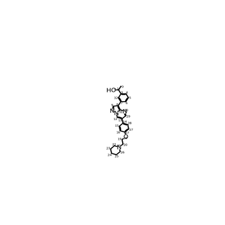 CC(O)c1cccc(-c2cnn3cc(-c4ccc(OCCN5CCCCC5)cc4)cnc23)c1